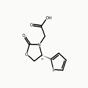 O=C(O)CN1C(=O)OC[C@H]1c1cccs1